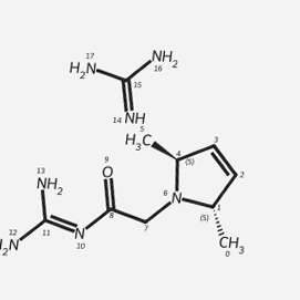 C[C@H]1C=C[C@H](C)N1CC(=O)N=C(N)N.N=C(N)N